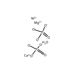 O.O=P([O-])([O-])[O-].O=P([O-])([O-])[O-].[Ca+2].[Mg+2].[Ni+2]